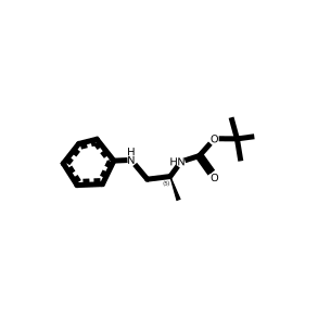 C[C@@H](CNc1ccccc1)NC(=O)OC(C)(C)C